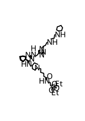 CCOP(=O)(CCNC(=O)CCCCN1CCC(Nc2nc(NCc3cn(CCCNCCCNC4CCCCC4)nn3)nc3ccccc23)CC1)OCC